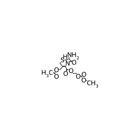 CCOC(=O)OCCOC(=O)C1=C(COC(C)=O)CS[C@H]2C(N)C(=O)N12